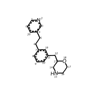 c1cncc(CCc2cccc(CC3CNCCO3)c2)c1